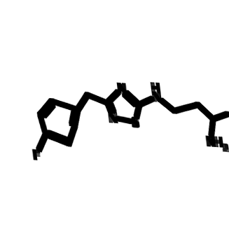 CC(N)CCNc1nc(Cc2ccc(F)cc2)ns1